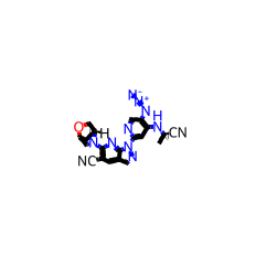 C[C@H](C#N)Nc1cc(-n2ncc3cc(C#N)c(N4CC5C[C@@H]4CO5)nc32)ncc1N=[N+]=[N-]